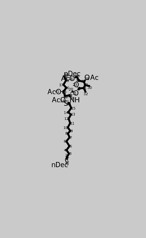 CCCCCCCCCCCCCCCCCCCCCCCCCC(=S)N[C@@H](COC1OC(COC(C)=O)C(OC(C)=O)C(C)C1C)[C@H](OC(C)=O)[C@@H](CCCCCCCCCCCCCC)OC(C)=O